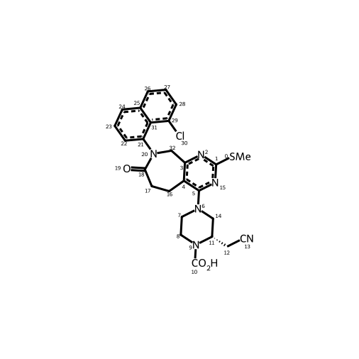 CSc1nc2c(c(N3CCN(C(=O)O)[C@@H](CC#N)C3)n1)CCC(=O)N(c1cccc3cccc(Cl)c13)C2